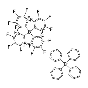 Fc1c(F)c(F)c([B-](c2c(F)c(F)c(F)c(F)c2F)(c2c(F)c(F)c(F)c(F)c2F)c2c(F)c(F)c(F)c(F)c2F)c(F)c1F.c1ccc([B-](c2ccccc2)(c2ccccc2)c2ccccc2)cc1